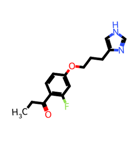 CCC(=O)c1ccc(OCCCc2c[nH]cn2)cc1F